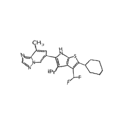 Cc1cc(-c2[nH]c3sc(C4CCCCC4)c(C(F)F)c3c2C(C)C)cn2ncnc12